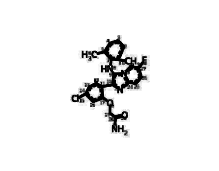 Cc1cccc(C)c1Nc1c(-c2ccc(Cl)cc2OCC(N)=O)nc2ccc(F)cn12